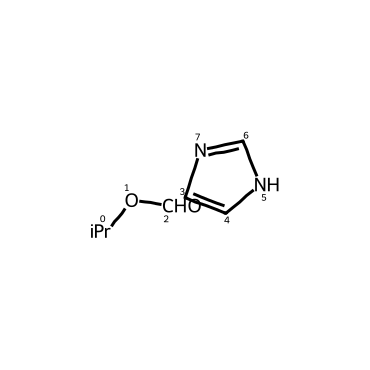 CC(C)OC=O.c1c[nH]cn1